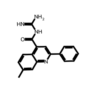 Cc1ccc2c(C(=O)NC(=N)N)cc(-c3ccccc3)nc2c1